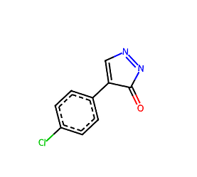 O=C1N=NC=C1c1ccc(Cl)cc1